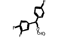 O=[C]OC(c1ccc(F)cc1)c1ccc(F)c(F)c1